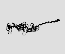 CCCCCCCCCCCCCCCCN(C(=O)c1ccc(Cl)c(NC(=O)C(=Nc2ccc(N(CC)CCNS(C)(=O)=O)cc2C)C(=O)C(C)(C)C)c1)S(C)(=O)=O